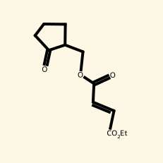 CCOC(=O)/C=C/C(=O)OCC1CCCC1=O